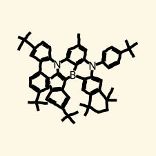 Cc1cc2c3c(c1)N(c1ccc(C(C)(C)C)cc1-c1ccc(C(C)(C)C)cc1)c1sc4ccc(C(C)(C)C)cc4c1B3c1cc3c(cc1N2c1ccc(C(C)(C)C)cc1)C(C)(C)CCC3(C)C